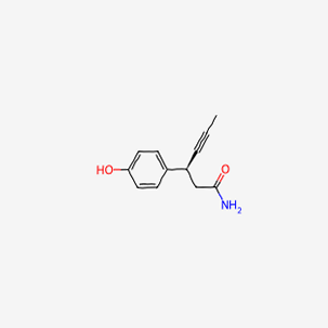 CC#C[C@@H](CC(N)=O)c1ccc(O)cc1